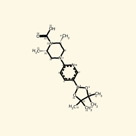 C[C@@H]1CN(c2ccc(B3OC(C)(C)C(C)(C)O3)cn2)C[C@H](C)N1C(=O)O